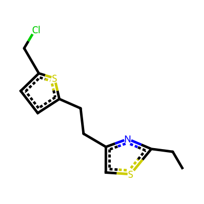 CCc1nc(CCc2ccc(CCl)s2)cs1